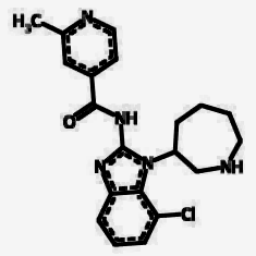 Cc1cc(C(=O)Nc2nc3cccc(Cl)c3n2C2CCCCNC2)ccn1